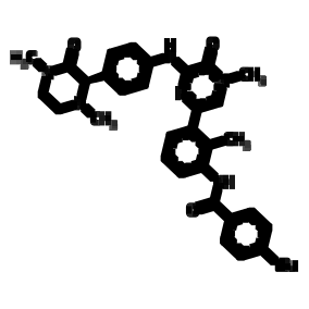 Cc1c(NC(=O)c2ccc(C(C)(C)C)cc2)cccc1-c1cn(C)c(=O)c(Nc2ccc([C@@H]3C(=O)N(C)CCN3C)cc2)n1